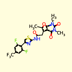 Cc1oc2c(c1CC(=O)Nc1nc(-c3c(F)cc(C(F)(F)F)cc3F)cs1)c(=O)n(C)c(=O)n2C